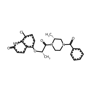 C[C@H](Oc1ccc(Cl)c2[nH]c(=O)ccc12)C(=O)N1CCN(C(=O)c2ccccc2)C[C@H]1C